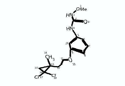 CONC(=O)Nc1cccc(OCCC2(C)CC2(Cl)Cl)c1